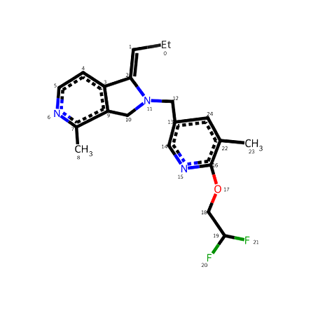 CC/C=C1/c2ccnc(C)c2CN1Cc1cnc(OCC(F)F)c(C)c1